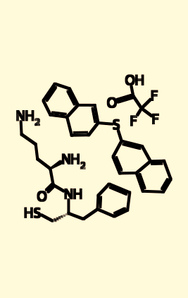 NCCC[C@@H](N)C(=O)N[C@@H](CS)Cc1ccccc1.O=C(O)C(F)(F)F.c1ccc2cc(Sc3ccc4ccccc4c3)ccc2c1